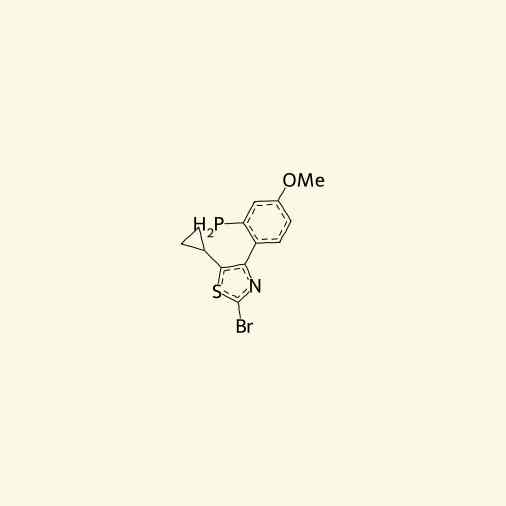 COc1ccc(-c2nc(Br)sc2C2CC2)c(P)c1